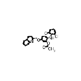 CC(=O)Oc1cc(OCc2ccc3ccccc3n2)ccc1Nc1c(Cl)cccc1Cl